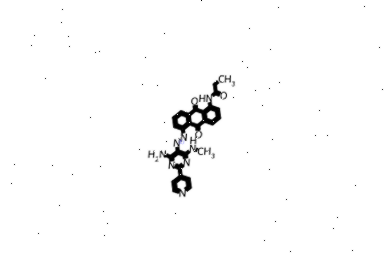 CCC(=O)Nc1cccc2c1C(=O)c1cccc(/N=N/c3c(N)nc(-c4ccncc4)nc3NC)c1C2=O